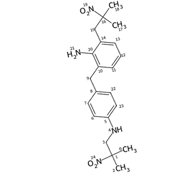 CC(C)(CNc1ccc(Cc2cccc(CC(C)(C)[N+](=O)[O-])c2N)cc1)[N+](=O)[O-]